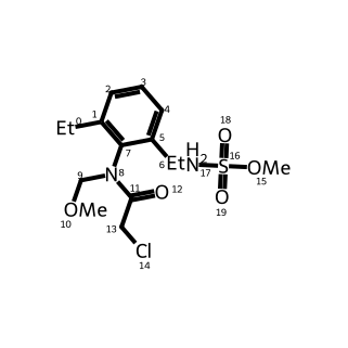 CCc1cccc(CC)c1N(COC)C(=O)CCl.COS(N)(=O)=O